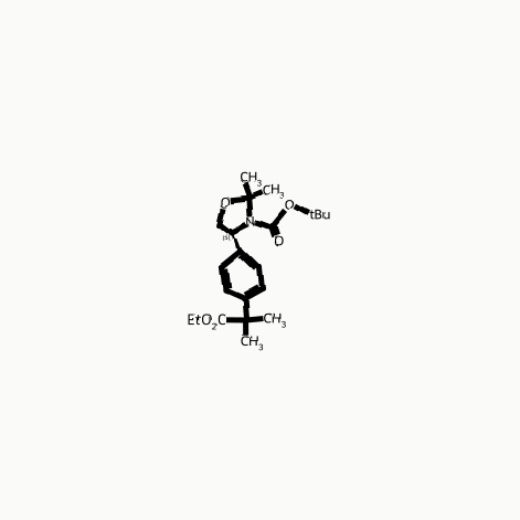 CCOC(=O)C(C)(C)c1ccc([C@H]2COC(C)(C)N2C(=O)OC(C)(C)C)cc1